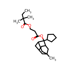 CCC(C)(C)C(=O)OCCC(=O)OC1(C2CCCC2)C2CC3CC1CC(C)(C3)C2